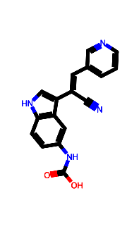 N#C/C(=C\c1cccnc1)c1c[nH]c2ccc(NC(=O)O)cc12